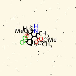 COC(=O)C1=C(C)NC(C)=C(C(=O)OC(C)(C)OC)C1c1cccc(Cl)c1Cl